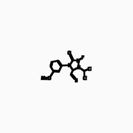 COc1cccc(N2C(=O)N(F)N(C(Cl)Cl)C2C=S)c1